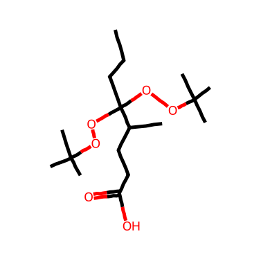 CCCC(OOC(C)(C)C)(OOC(C)(C)C)C(C)CCC(=O)O